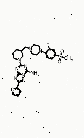 CS(=O)(=O)c1ccc(N2CCN(CC3CCCN(c4nc(N)n5nc(-c6ccco6)nc5n4)C3)CC2)c(F)c1